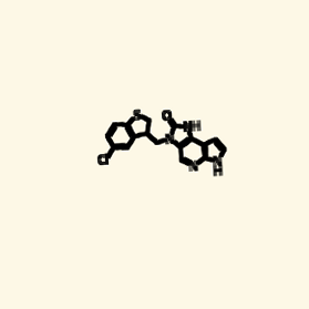 O=c1[nH]c2c3cc[nH]c3ncc2n1CC1CSc2ccc(Cl)cc21